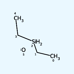 CC[SiH2]CC.[O]